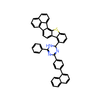 c1ccc(C2=NC(c3ccc(-c4cccc5ccccc45)cc3)=NC(c3cccc4sc5c6c(ccc5c34)-c3cccc4cccc-6c34)N2)cc1